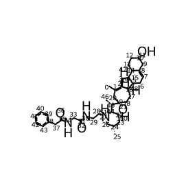 CC1=C2C[C@H]3[C@@H](CC=C4C[C@@H](O)CC[C@@]43C)[C@@H]2CC[C@@]2(C1)O[C@@H]1C[C@H](C)CN(CCNC(=O)CNC(=O)Cc3ccccc3)[C@H]1[C@H]2C